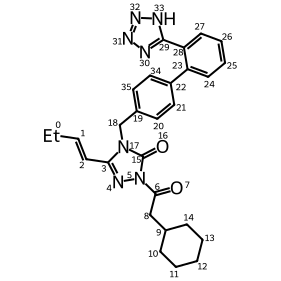 CCC=Cc1nn(C(=O)CC2CCCCC2)c(=O)n1Cc1ccc(-c2ccccc2-c2nnn[nH]2)cc1